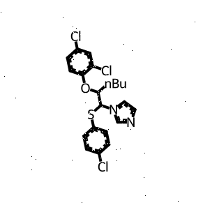 CCCCC(Oc1ccc(Cl)cc1Cl)C(Sc1ccc(Cl)cc1)n1ccnc1